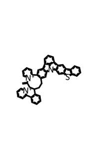 C=C1C2C(CCc3cc4c(cc3-c3cccc[n+]31)c1cccc3c5cc6c(cc5n4c13)sc1ccccc16)c1ccccc1-c1cccc[n+]12